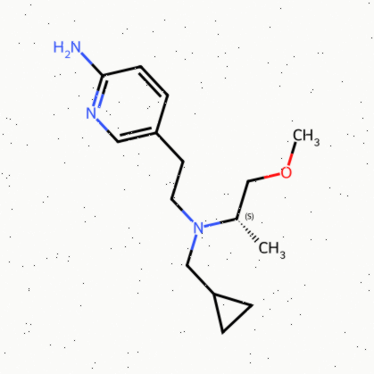 COC[C@H](C)N(CCc1ccc(N)nc1)CC1CC1